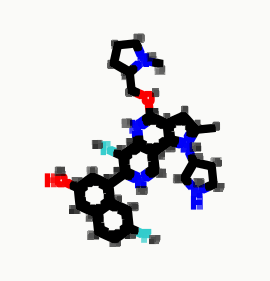 Cc1cc2c(OCC3CCCN3C)nc3c(F)c(-c4cc(O)cc5ccc(F)cc45)ncc3c2n1C1CCNC1